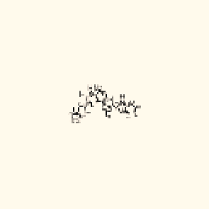 Cc1cnc(C[S+]([O-])c2nc3ccccc3[nH]2)c(C)c1OCC1COC2(CCC2)OC1.[NaH]